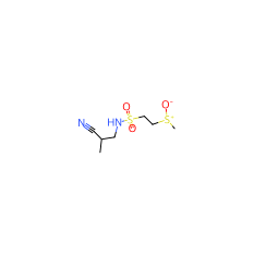 CC(C#N)CNS(=O)(=O)CC[S+](C)[O-]